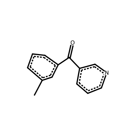 Cc1cccc(C(=O)c2cccnc2)c1